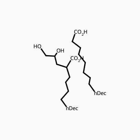 CCCCCCCCCCCCCCC(CC(O)CO)C(=O)O.CCCCCCCCCCCCCCCCCC(=O)O